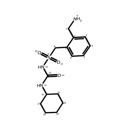 NCc1ccccc1CS(=O)(=O)NC(=O)NC1CCCCC1